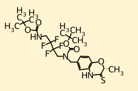 C[C@H]1Oc2ccc(CN(CC(F)(F)C(F)(F)CNC(=O)OC(C)(C)C)C(=O)OC(C)(C)C)cc2NC1=S